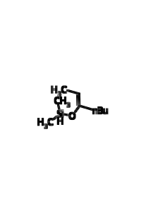 CC=C(CCCC)O[SiH](C)C